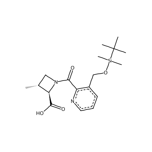 C[C@@H]1CN(C(=O)c2ncccc2CO[Si](C)(C)C(C)(C)C)[C@H]1C(=O)O